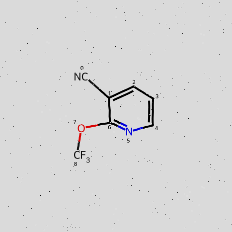 N#Cc1cccnc1OC(F)(F)F